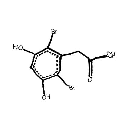 O=C(O)Cc1c(Br)c(O)cc(O)c1Br